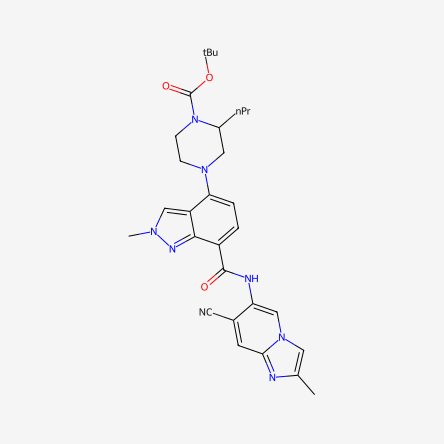 CCCC1CN(c2ccc(C(=O)Nc3cn4cc(C)nc4cc3C#N)c3nn(C)cc23)CCN1C(=O)OC(C)(C)C